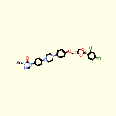 CCC(C)n1ncn(-c2ccc(N3CCN(c4ccc(OC[C@@H]5CO[C@@H](c6ccc(Cl)cc6Cl)O5)cc4)CC3)cc2)c1=O